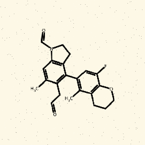 Cc1cc2c(c(-c3cc(F)c4c(c3C)CCCO4)c1CC=O)CCN2C=O